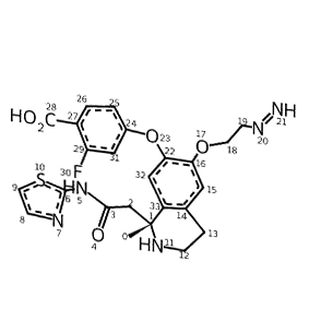 C[C@]1(CC(=O)Nc2nccs2)NCCc2cc(OCCN=N)c(Oc3ccc(C(=O)O)c(F)c3)cc21